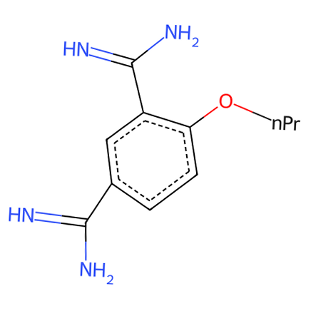 CCCOc1ccc(C(=N)N)cc1C(=N)N